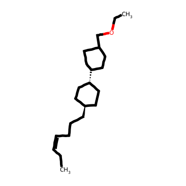 CC/C=C\CCC[C@H]1CC[C@H](C2CCC(COCC)CC2)CC1